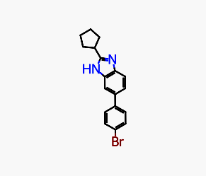 Brc1ccc(-c2ccc3nc(C4CCCC4)[nH]c3c2)cc1